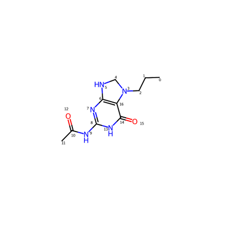 CCCN1CNc2nc(NC(C)=O)[nH]c(=O)c21